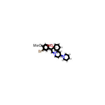 COc1ccc(C(CN2CCC(N3CCCCC3)CC2)C2(O)CCCCC2)cc1Br